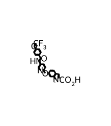 Cn1c(C(=O)O)cc2ccc(Oc3ccc(NC(=O)c4ccc(OC(F)(F)F)cc4)cn3)cc21